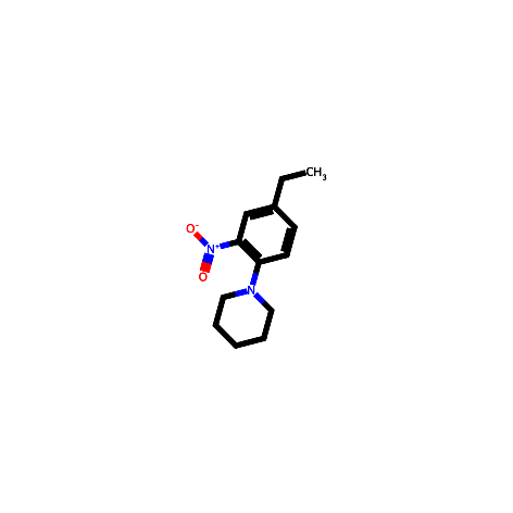 CCc1ccc(N2CCCCC2)c([N+](=O)[O-])c1